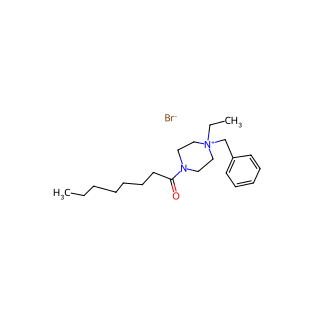 CCCCCCCC(=O)N1CC[N+](CC)(Cc2ccccc2)CC1.[Br-]